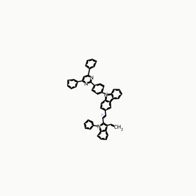 C=Cc1c(/C=C/c2ccc3c(c2)c2ccccc2n3-c2ccc(-c3nc(-c4ccccc4)cc(-c4ccccc4)n3)cc2)n(-c2ccccc2)c2ccccc12